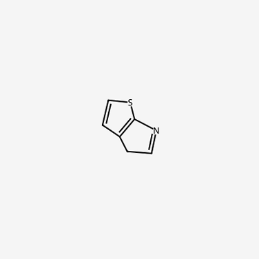 C1=Nc2sccc2C1